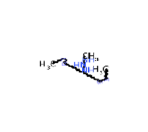 CCCCC/C=C\C/C=C\CCCCCCCCC(CCCCCCCC/C=C\C/C=C\CCCCC)NCCNCCNCC